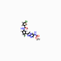 CC(C)OC(=O)Nc1cnc2nc(-c3cc(NC(=O)c4ccc(Br)s4)ccc3F)cn2c1